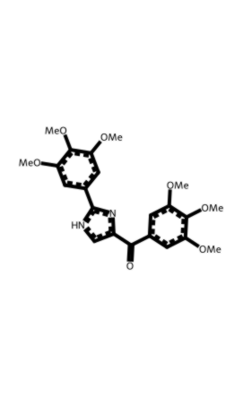 COc1cc(C(=O)c2c[nH]c(-c3cc(OC)c(OC)c(OC)c3)n2)cc(OC)c1OC